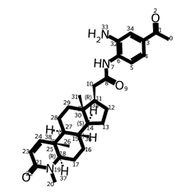 CC(=O)c1ccc(NC(=O)C[C@H]2CC[C@H]3[C@@H]4CC[C@H]5N(C)C(=O)C=C[C@]5(C)[C@H]4CC[C@]23C)c(N)c1